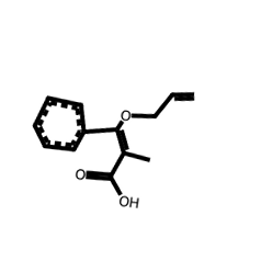 C=CCOC(=C(C)C(=O)O)c1ccccc1